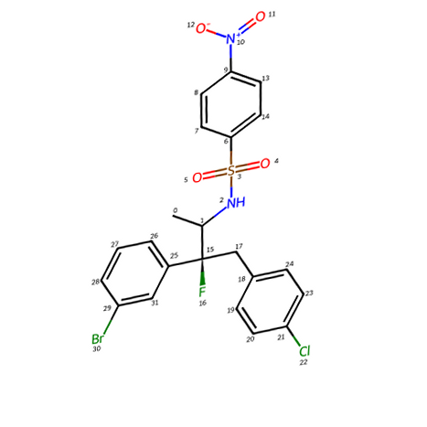 CC(NS(=O)(=O)c1ccc([N+](=O)[O-])cc1)[C@](F)(Cc1ccc(Cl)cc1)c1cccc(Br)c1